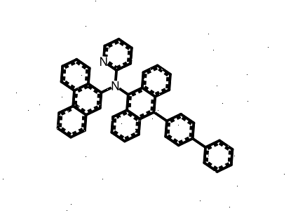 c1ccc(-c2ccc(-c3c4ccccc4c(N(c4ccccn4)c4cc5ccccc5c5ccccc45)c4ccccc34)cc2)cc1